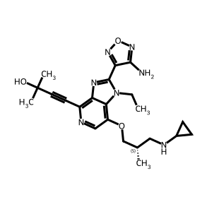 CCn1c(-c2nonc2N)nc2c(C#CC(C)(C)O)ncc(OC[C@@H](C)CNC3CC3)c21